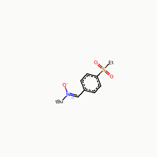 CCS(=O)(=O)c1ccc(/C=[N+](\[O-])C(C)(C)C)cc1